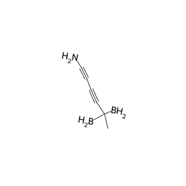 BC(B)(C)C#CC#CN